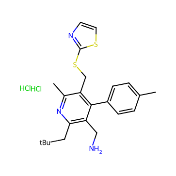 Cc1ccc(-c2c(CSc3nccs3)c(C)nc(CC(C)(C)C)c2CN)cc1.Cl.Cl